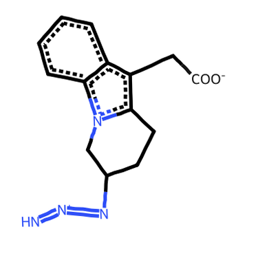 N=[N+]=NC1CCc2c(CC(=O)[O-])c3ccccc3n2C1